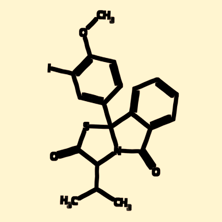 COc1ccc(C23SC(=O)C(C(C)C)N2C(=O)c2ccccc23)cc1I